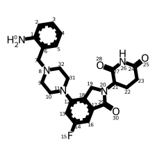 Nc1ccccc1CN1CCN(c2cc(F)cc3c2CN(C2CCC(=O)NC2=O)C3=O)CC1